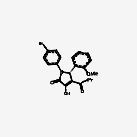 COc1ccccc1[C@@H]1C(C(=O)C(C)C)=C(O)C(=O)N1c1ccc(Br)cc1